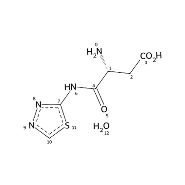 N[C@H](CC(=O)O)C(=O)Nc1nncs1.O